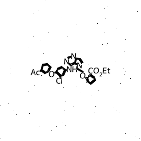 CCOC(=O)c1ccccc1OCCn1ccc2ncnc(Nc3ccc(Oc4cccc(C(C)=O)c4)c(Cl)c3)c21